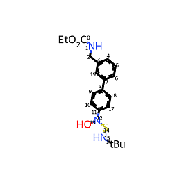 CCOC(=O)NCc1cccc(-c2ccc(N(O)SNC(C)(C)C)cc2)c1